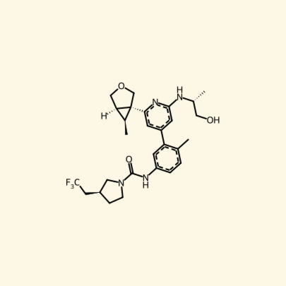 Cc1ccc(NC(=O)N2CC[C@@H](CC(F)(F)F)C2)cc1-c1cc(N[C@H](C)CO)nc([C@@]23COC[C@@H]2[C@@H]3C)c1